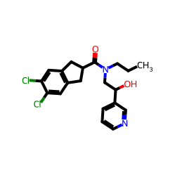 CCCN(CC(O)c1cccnc1)C(=O)C1Cc2cc(Cl)c(Cl)cc2C1